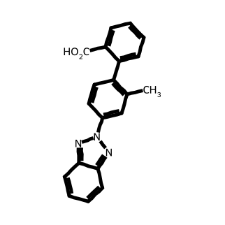 Cc1cc(-n2nc3ccccc3n2)ccc1-c1ccccc1C(=O)O